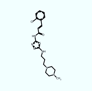 CN1CCN(CCCNc2nnc(NC(=O)C=Cc3ccccc3Cl)s2)CC1